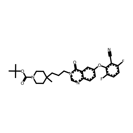 CC1(CCCn2cnc3ccc(Oc4c(F)ccc(F)c4C#N)cc3c2=O)CCN(C(=O)OC(C)(C)C)CC1